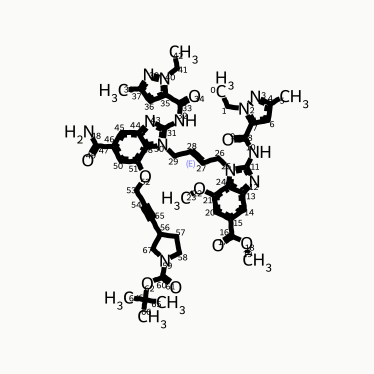 CCn1nc(C)cc1C(=O)Nc1nc2cc(C(=O)OC)cc(OC)c2n1C/C=C/Cn1c(NC(=O)c2cc(C)nn2CC)nc2cc(C(N)=O)cc(OCC#CC3CCN(C(=O)OC(C)(C)C)C3)c21